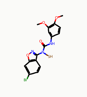 COc1ccc(NC(=O)N(S)c2noc3cc(Br)ccc23)cc1OC